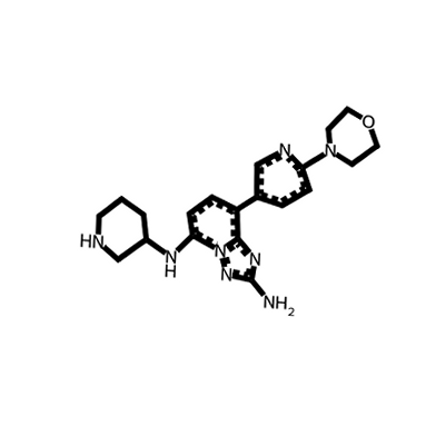 Nc1nc2c(-c3ccc(N4CCOCC4)nc3)ccc(NC3CCCNC3)n2n1